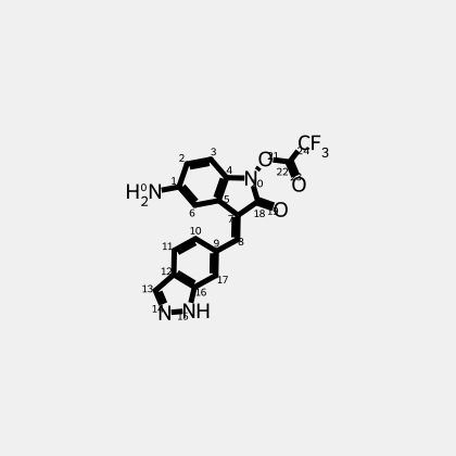 Nc1ccc2c(c1)/C(=C\c1ccc3cn[nH]c3c1)C(=O)N2OC(=O)C(F)(F)F